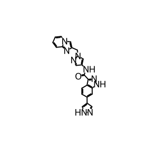 O=C(Nc1cnn(Cc2cn3ccccc3n2)c1)c1n[nH]c2cc(-c3cn[nH]c3)ccc12